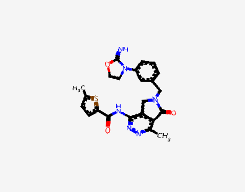 Cc1ccc(C(=O)Nc2nnc(C)c3c2CN(Cc2cccc(N4CCOC4=N)c2)C3=O)s1